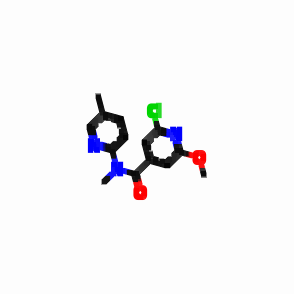 COc1cc(C(=O)N(C)c2ccc(C)cn2)cc(Cl)n1